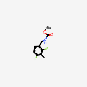 Cc1c(F)ccc(CNC(=O)OC(C)(C)C)c1F